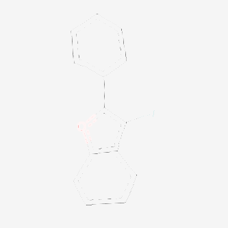 Fc1c(-c2ccccc2)oc2ccccc12